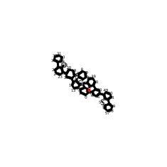 c1ccc([Si](c2ccccc2)(c2cccc3c2sc2ccc(-c4cccc5c4oc4ccccc45)cc23)c2cccc3c2sc2ccc(-c4cccc5c4sc4ccccc45)cc23)cc1